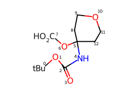 CC(C)(C)OC(=O)NC1(OC(=O)O)CCOCC1